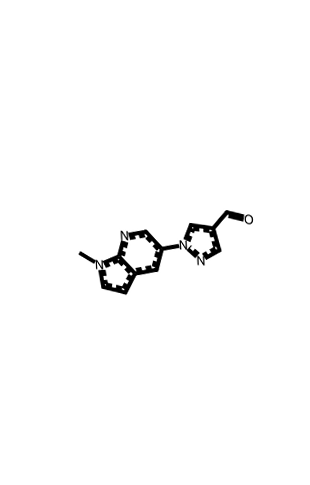 Cn1ccc2cc(-n3cc(C=O)cn3)cnc21